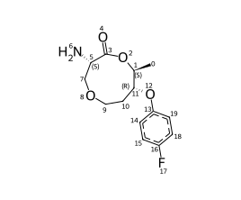 C[C@@H]1OC(=O)[C@@H](N)COCC[C@H]1Oc1ccc(F)cc1